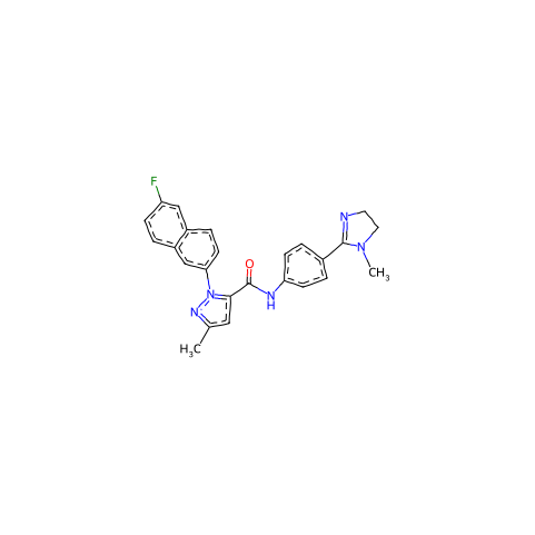 Cc1cc(C(=O)Nc2ccc(C3=NCCN3C)cc2)n(-c2ccc3cc(F)ccc3c2)n1